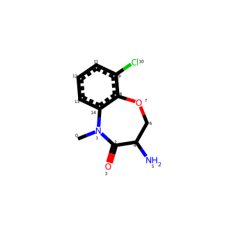 CN1C(=O)C(N)COc2c(Cl)cccc21